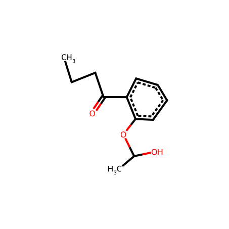 CCCC(=O)c1ccccc1OC(C)O